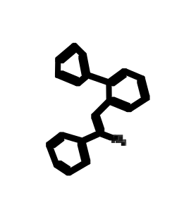 PC(=Cc1ccccc1-c1ccccc1)c1ccccc1